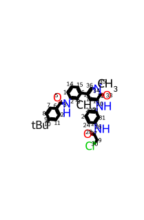 Cc1c(NC(=O)c2ccc(C(C)(C)C)cc2)cccc1-c1cc(Nc2cccc(NC(=O)CCl)c2)c(=O)n(C)c1